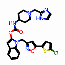 O=C(NC1CCN(Cc2ncc[nH]2)CC1)Oc1cc2ccccc2n1Cc1cc(-c2ccc(Cl)s2)on1